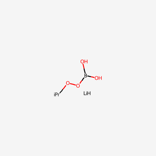 CC(C)OOB(O)O.[LiH]